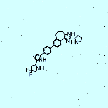 FC1(F)CN[C@H](c2ncc(-c3ccc(-c4ccc5c(c4)CCCc4[nH]c([C@@H]6CCCN6)nc4-5)cc3)[nH]2)C1